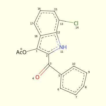 CC(=O)Oc1c(C(=O)c2ccccc2)[nH]c2c(Cl)cccc12